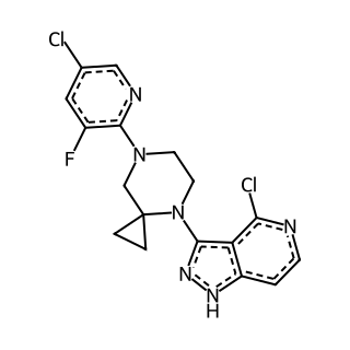 Fc1cc(Cl)cnc1N1CCN(c2n[nH]c3ccnc(Cl)c23)C2(CC2)C1